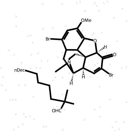 CCCCCCCCCCCCCCC(C)(C)C=O.COC1=C2O[C@H]3C(=O)C(Br)=C[C@H]4[C@H]5CC(C(Br)=C1)C2[C@@]34CCN5C